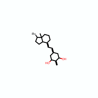 C=C1C(O)CC(=CC=C2CCCC3(C)C2CCC3C(C)CC)CC1O